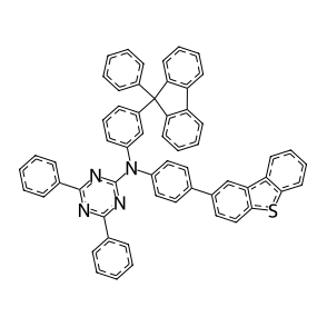 c1ccc(-c2nc(-c3ccccc3)nc(N(c3ccc(-c4ccc5sc6ccccc6c5c4)cc3)c3cccc(C4(c5ccccc5)c5ccccc5-c5ccccc54)c3)n2)cc1